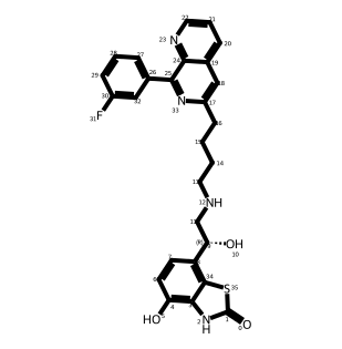 O=c1[nH]c2c(O)ccc([C@@H](O)CNCCCCc3cc4cccnc4c(-c4cccc(F)c4)n3)c2s1